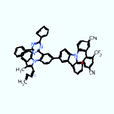 C=C/C=C\c1c(C)c2ccccc2n1-c1ccc(-c2ccc3c(c2)c2ccccc2n3-c2ccc(C#N)cc2-c2ccc(C#N)cc2C(F)(F)F)cc1-c1nc(-c2ccccc2)nc(-c2ccccc2)n1